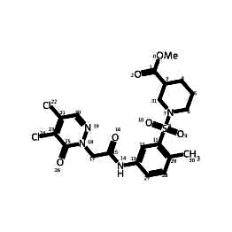 COC(=O)C1CCCN(S(=O)(=O)c2cc(NC(=O)Cn3ncc(Cl)c(Cl)c3=O)ccc2C)C1